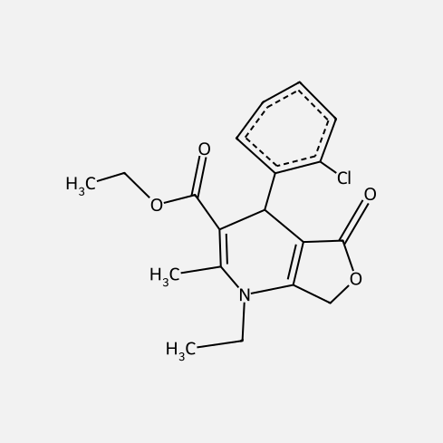 CCOC(=O)C1=C(C)N(CC)C2=C(C(=O)OC2)C1c1ccccc1Cl